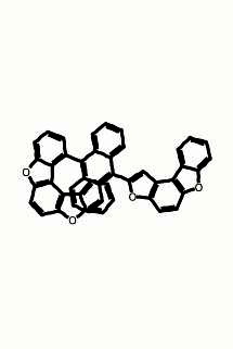 c1ccc2c(c1)oc1ccc3oc(-c4c5ccccc5c(-c5cccc6oc7ccc8oc9ccccc9c8c7c56)c5ccccc45)cc3c12